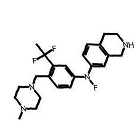 CN1CCN(Cc2ccc(N(F)c3ccc4c(c3)CNCC4)cc2C(C)(F)F)CC1